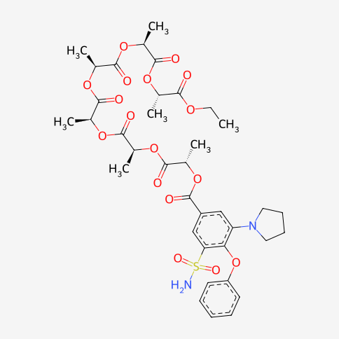 CCOC(=O)[C@H](C)OC(=O)[C@H](C)OC(=O)[C@H](C)OC(=O)[C@H](C)OC(=O)[C@H](C)OC(=O)[C@H](C)OC(=O)c1cc(N2CCCC2)c(Oc2ccccc2)c(S(N)(=O)=O)c1